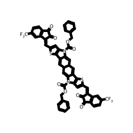 O=C1C(=O)c2ccc(C(F)(F)F)cc2/C1=C/c1cc2c(s1)c1c(n2C(=O)OCc2ccccc2)=CC2C=c3c(n(C(=O)OCc4ccccc4)c4cc(/C=C5\C(=O)C(=O)c6ccc(C(F)(F)F)cc65)sc34)=CC2C=1